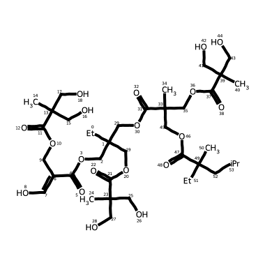 CCC(COC(=O)/C(=C/O)COC(=O)C(C)(CO)CO)(COC(=O)C(C)(CO)CO)COC(=O)C(C)(COC(=O)C(C)(CO)CO)COC(=O)C(C)(CC)CC(C)C